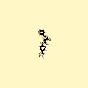 COC(=O)c1ccc(NC(=O)c2sc(-c3cccnc3)nc2Cl)nc1